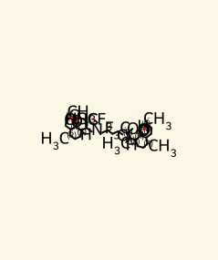 C[C@@H]1CC[C@H]2C(CN(CC=O)CCCCO[C@@]3(C(F)(F)F)O[C@@H]4O[C@]5(C)CCC6[C@H](C)CC[C@@H]([C@H]3C)[C@]64OO5)=C(C(F)(F)F)O[C@@H]3O[C@]4(C)CCC1[C@]32O4